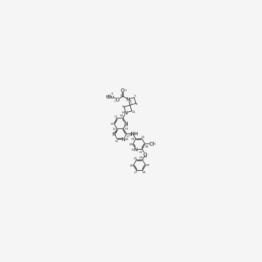 CC(C)(C)OC(=O)N1CCC12CN(c1ccc3ncnc(Nc4cnc(Oc5ccccc5)c(Cl)c4)c3n1)C2